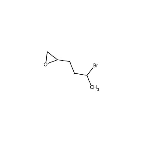 CC(Br)CCC1CO1